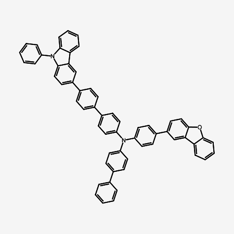 c1ccc(-c2ccc(N(c3ccc(-c4ccc(-c5ccc6c(c5)c5ccccc5n6-c5ccccc5)cc4)cc3)c3ccc(-c4ccc5oc6ccccc6c5c4)cc3)cc2)cc1